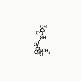 Cn1c(=O)n2c3c(cc(C(=O)CCCCNCCc4ccc(O)cc4Cl)cc31)CCC2